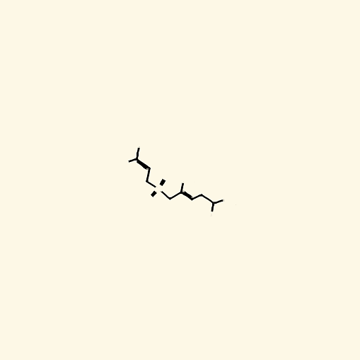 CCOC(=O)C(C/C=C(\C)CS(=O)(=O)CC=C(C)C)C(C)=O